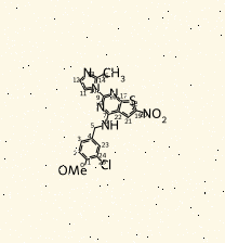 COc1ccc(CNc2nc(-n3ccnc3C)nc3sc([N+](=O)[O-])cc23)cc1Cl